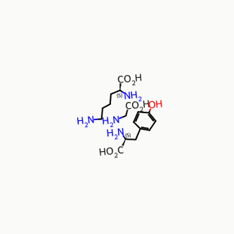 NCC(=O)O.NCCCC[C@H](N)C(=O)O.N[C@@H](Cc1ccc(O)cc1)C(=O)O